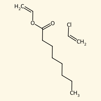 C=CCl.C=COC(=O)CCCCCCC